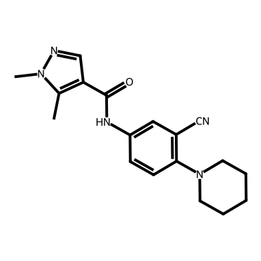 Cc1c(C(=O)Nc2ccc(N3CCCCC3)c(C#N)c2)cnn1C